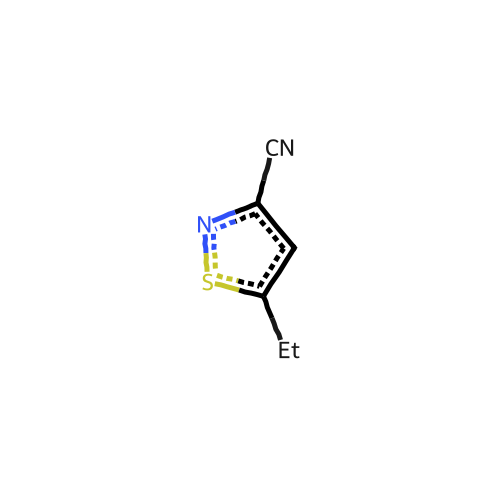 CCc1cc(C#N)ns1